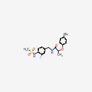 CC(Oc1ccc(C(C)(C)C)cc1)C(=O)NCc1ccc(NS(C)(=O)=O)c(F)c1